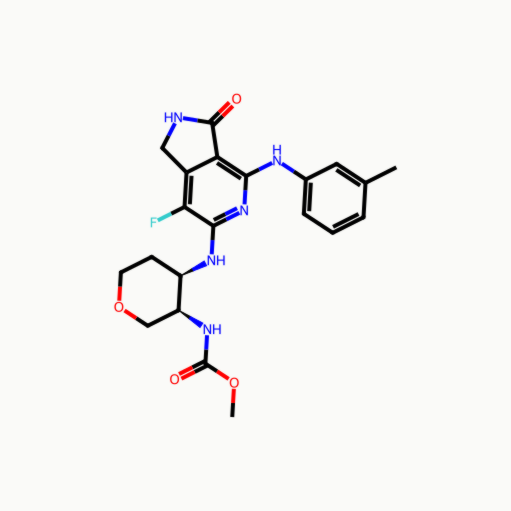 COC(=O)N[C@H]1COCC[C@H]1Nc1nc(Nc2cccc(C)c2)c2c(c1F)CNC2=O